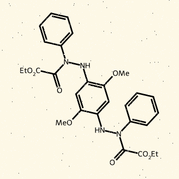 CCOC(=O)C(=O)N(Nc1cc(OC)c(NN(C(=O)C(=O)OCC)c2ccccc2)cc1OC)c1ccccc1